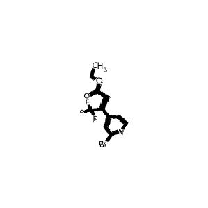 CCOC(=O)C=C(c1ccnc(Br)c1)C(F)(F)F